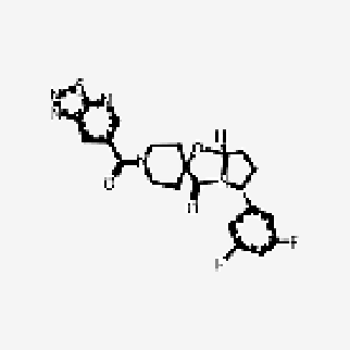 O=C(c1cnc2snnc2c1)N1CCC2(CC1)O[C@@H]1CC[C@@H](c3cc(F)cc(F)c3)N1C2=O